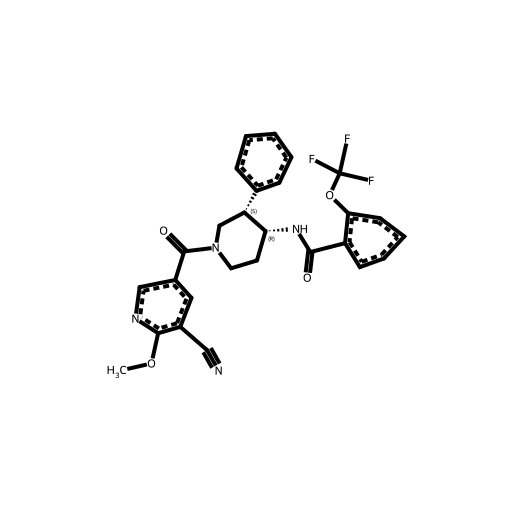 COc1ncc(C(=O)N2CC[C@@H](NC(=O)c3ccccc3OC(F)(F)F)[C@@H](c3ccccc3)C2)cc1C#N